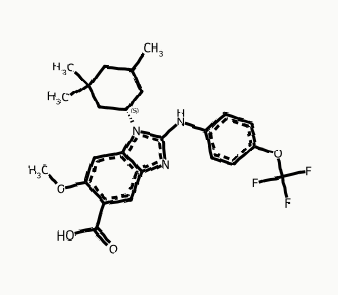 COc1cc2c(cc1C(=O)O)nc(Nc1ccc(OC(F)(F)F)cc1)n2[C@H]1CC(C)CC(C)(C)C1